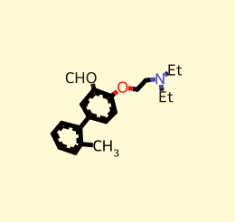 CCN(CC)CCOc1ccc(-c2ccccc2C)cc1C=O